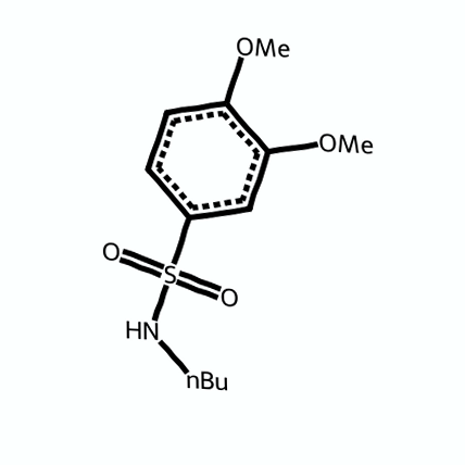 CCCCNS(=O)(=O)c1ccc(OC)c(OC)c1